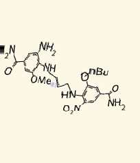 CCCCOc1cc(C(N)=O)cc([N+](=O)[O-])c1NC/C=C/CNc1c(N)cc(C(N)=O)cc1OC